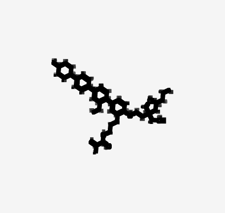 C=C(C)C(=O)OCCCc1cc(-c2ccc(-c3ccc(C4CCC(C)CC4)cc3)cc2CC)ccc1OCCC(CO)(CO)CCCCC